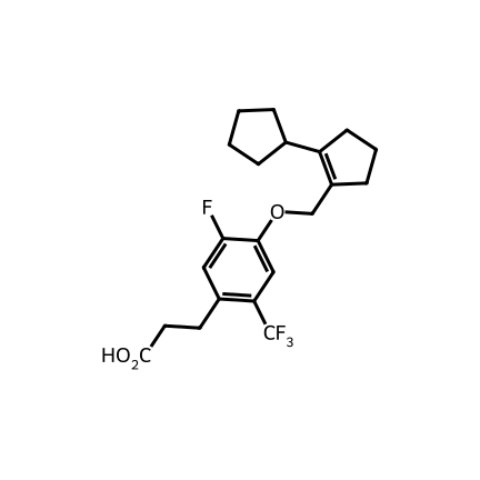 O=C(O)CCc1cc(F)c(OCC2=C(C3CCCC3)CCC2)cc1C(F)(F)F